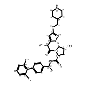 CC(C)[C@@H](C(=O)N1C[C@H](O)C[C@H]1C(=O)N[C@@H](C)c1ccc(-c2c(F)cccc2F)cc1)c1cc(OCC2CCNCC2)no1